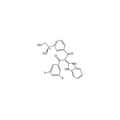 O=C(C(C(=O)c1cccc([C@@H](O)CO)c1)=C1Nc2ccccc2N1)c1cc(F)cc(F)c1